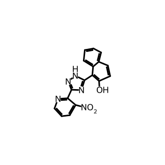 O=[N+]([O-])c1cccnc1-c1n[nH]c(-c2c(O)ccc3ccccc23)n1